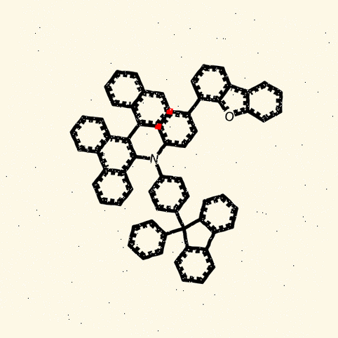 c1ccc(C2(c3ccc(N(c4ccc(-c5cccc6c5oc5ccccc56)cc4)c4c(-c5cccc6ccccc56)c5ccccc5c5ccccc45)cc3)c3ccccc3-c3ccccc32)cc1